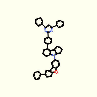 c1ccc(-c2ccc3oc4ccc(-n5c6ccccc6c6c(-c7ccc(-c8nc(-c9ccccc9)cc(-c9ccccc9)n8)cc7)cccc65)cc4c3c2)cc1